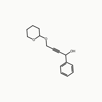 OC(C#CCOC1CCCCO1)c1ccccc1